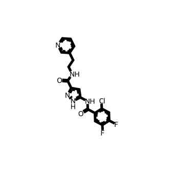 O=C(NCCc1cccnc1)c1cc(NC(=O)c2cc(F)c(F)cc2Cl)[nH]n1